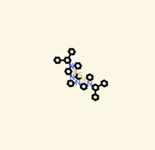 c1ccc(-c2cc(-c3ccccc3)cc(N3c4ccccc4B4c5sc6c7c5N(c5ccccc5N7c5cccc7c5B6c5ccccc5N7c5cc(-c6ccccc6)cc(-c6ccccc6)c5)c5cccc3c54)c2)cc1